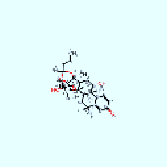 [2H]C1(CCC)O[C@@H]2C[C@H]3[C@@H]4CC([2H])([2H])C5=CC(=O)C=C[C@]5(C)[C@H]4[C@@H](O)C[C@]3(C)[C@]2(C(=O)C([2H])([2H])O)O1